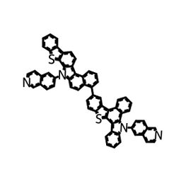 c1ccc2c(c1)sc1c2ccc2c3c4cccc(-c5ccc6sc7c(c6c5)c5ccccc5c5c7c6ccccc6n5-c5ccc6cnccc6c5)c4ccc3n(-c3ccc4cnccc4c3)c21